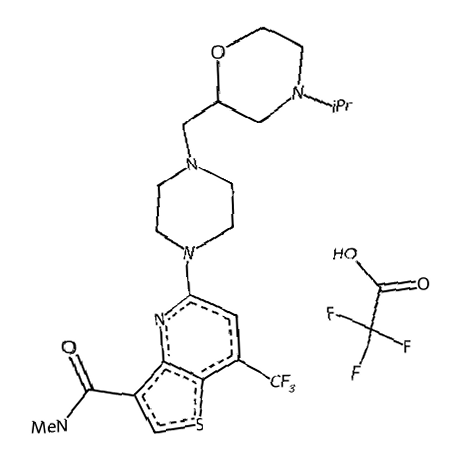 CNC(=O)c1csc2c(C(F)(F)F)cc(N3CCN(CC4CN(C(C)C)CCO4)CC3)nc12.O=C(O)C(F)(F)F